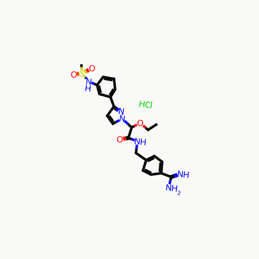 CCOC(C(=O)NCc1ccc(C(=N)N)cc1)n1ccc(-c2cccc(NS(C)(=O)=O)c2)n1.Cl